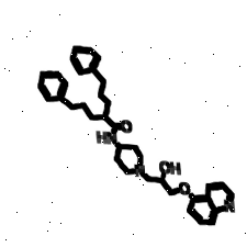 O=C(NC1CCN(C[C@@H](O)COc2cccc3ncccc23)CC1)C(CCCc1ccccc1)CCCc1ccccc1